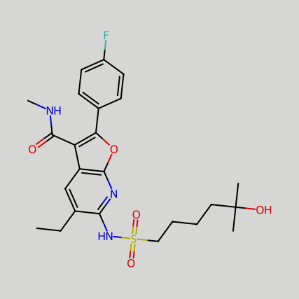 CCc1cc2c(C(=O)NC)c(-c3ccc(F)cc3)oc2nc1NS(=O)(=O)CCCCC(C)(C)O